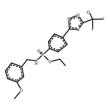 CCOP(=O)(NCc1cccc(OC)c1)c1ccc(-c2noc(C(F)(F)Cl)n2)cc1